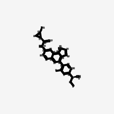 CC[C@@H](O)c1cc(C)c(-c2cc3cnc(NC(=O)[C@H]4C[C@H]4F)cc3c3[nH]cnc23)cn1